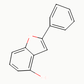 Oc1cccc2oc(-c3ccccc3)cc12